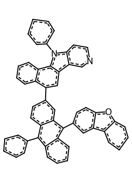 c1ccc(-c2c3ccccc3c(-c3ccc4oc5ccccc5c4c3)c3cc(-c4cc5c6cnccc6n(-c6ccccc6)c5c5ccccc45)ccc23)cc1